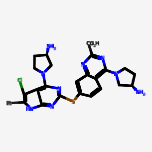 CCc1[nH]c2nc(Sc3ccc4c(N5CC[C@@H](N)C5)nc(C(=O)O)nc4c3)nc(N3CC[C@@H](N)C3)c2c1Cl